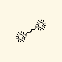 C[Si]1(C)[Si](C)(C)[Si](C)(C)[Si](C)(OCC=CCO[Si]2(C)[Si](C)(C)[Si](C)(C)[Si](C)(C)[Si](C)(C)[Si]2(C)C)[Si](C)(C)[Si]1(C)C